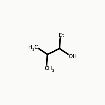 C[CH]C(O)[C](C)C